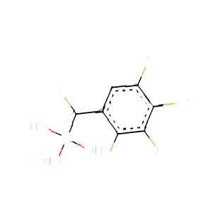 O[Si](O)(O)C(F)c1cc(F)c(F)c(F)c1F